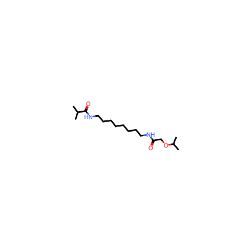 CC(C)OCC(=O)NCCCCCCCCNC(=O)C(C)C